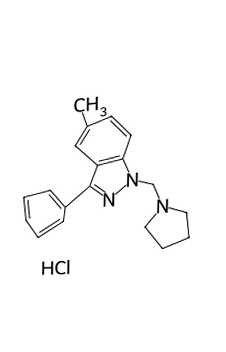 Cc1ccc2c(c1)c(-c1ccccc1)nn2CN1CCCC1.Cl